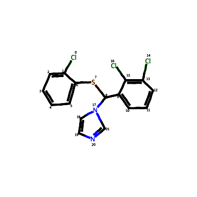 Clc1ccccc1SC(c1cccc(Cl)c1Cl)n1ccnc1